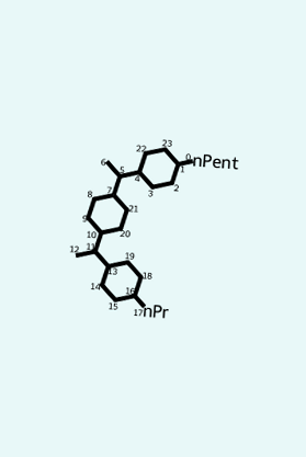 CCCCCC1CCC(C(C)C2CCC(C(C)C3CCC(CCC)CC3)CC2)CC1